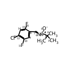 CC(C)(C)[S@+]([O-])N=Cc1cc(F)c(Cl)cc1F